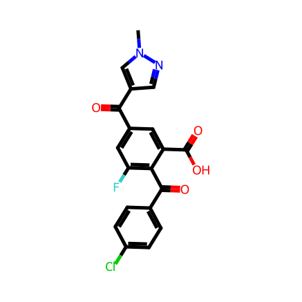 Cn1cc(C(=O)c2cc(F)c(C(=O)c3ccc(Cl)cc3)c(C(=O)O)c2)cn1